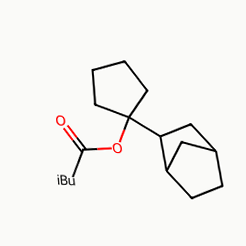 CCC(C)C(=O)OC1(C2CC3CCC2C3)CCCC1